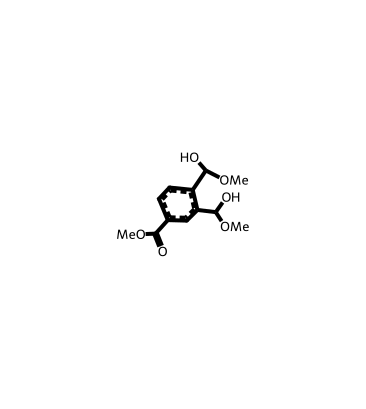 COC(=O)c1ccc(C(O)OC)c(C(O)OC)c1